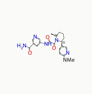 CNc1ccc([C@@H]2CCC[C@H](C)N2C(=O)C(=O)Nc2cncc(C(N)=O)c2)cn1